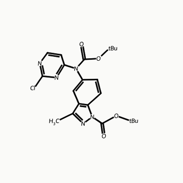 Cc1nn(C(=O)OC(C)(C)C)c2ccc(N(C(=O)OC(C)(C)C)c3ccnc(Cl)n3)cc12